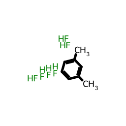 Cc1cccc(C)c1.F.F.F.F.F.F